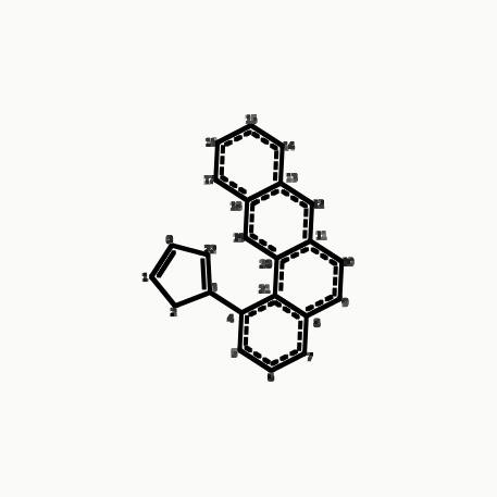 C1=CCC(c2cccc3ccc4cc5ccccc5cc4c23)=C1